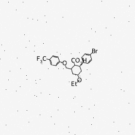 CCOC1CC(COc2ccc(C(F)(F)F)cc2)C(C(=O)O)C(c2ccc(Br)cc2)C1